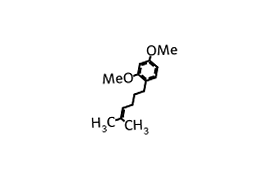 COc1ccc(CCCC=C(C)C)c(OC)c1